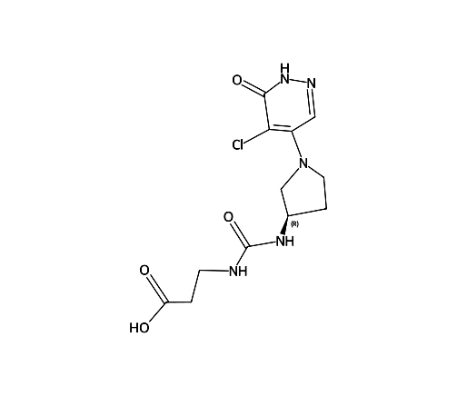 O=C(O)CCNC(=O)N[C@@H]1CCN(c2cn[nH]c(=O)c2Cl)C1